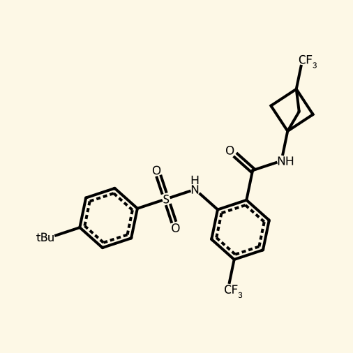 CC(C)(C)c1ccc(S(=O)(=O)Nc2cc(C(F)(F)F)ccc2C(=O)NC23CC(C(F)(F)F)(C2)C3)cc1